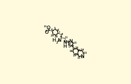 COC(=O)c1ccc(C[C@H](N)CNc2ncc(-c3ccc4cnccc4c3)s2)cc1